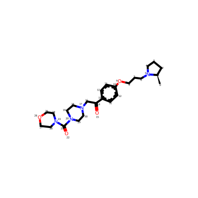 C[C@@H]1CCCN1CCCOc1ccc(C(=O)CN2CCN(C(=O)N3CCOCC3)CC2)cc1